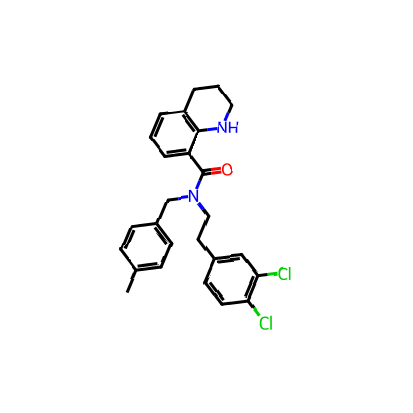 Cc1ccc(CN(CCc2ccc(Cl)c(Cl)c2)C(=O)c2cccc3c2NCCC3)cc1